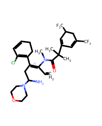 C=C/C(=C(\CC(N)N1CCOCC1)C1=C(Cl)C=CCC1)N(C)C(=O)C(C)(C)C1=CC(C(F)(F)F)CC(C(F)(F)F)=C1